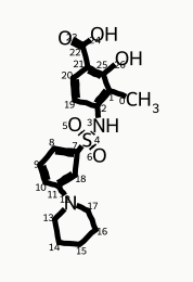 Cc1c(NS(=O)(=O)c2cccc(N3CCCCC3)c2)ccc(C(=O)O)c1O